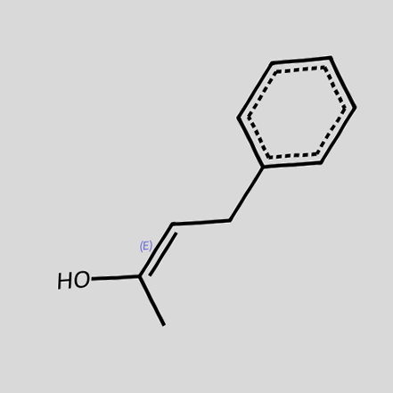 C/C(O)=C\Cc1ccccc1